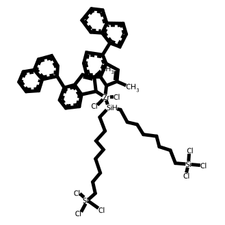 CC1=Cc2c(-c3cccc4ccccc34)cccc2[CH]1[Zr]([Cl])([Cl])([CH]1C(C)=Cc2c(-c3cccc4ccccc34)cccc21)[SiH](CCCCCCCC[Si](Cl)(Cl)Cl)CCCCCCCC[Si](Cl)(Cl)Cl